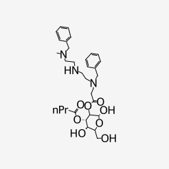 CCCC(=O)O[C@@H]1C(OC(=O)CCN(CCNCCN(C)Cc2ccccc2)Cc2ccccc2)[C@H](O)OC(CO)[C@H]1O